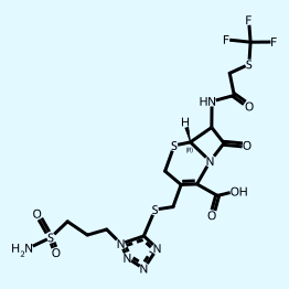 NS(=O)(=O)CCCn1nnnc1SCC1=C(C(=O)O)N2C(=O)C(NC(=O)CSC(F)(F)F)[C@H]2SC1